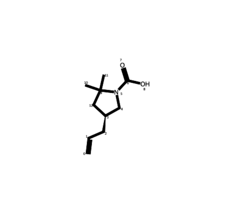 C=CC[C@@H]1CN(C(=O)O)C(C)(C)C1